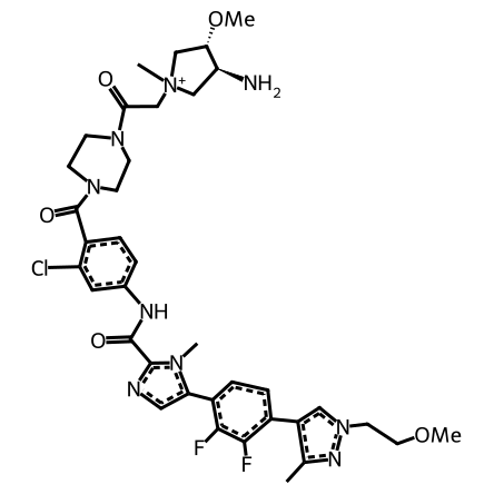 COCCn1cc(-c2ccc(-c3cnc(C(=O)Nc4ccc(C(=O)N5CCN(C(=O)C[N+]6(C)C[C@H](OC)[C@@H](N)C6)CC5)c(Cl)c4)n3C)c(F)c2F)c(C)n1